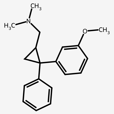 COc1cccc(C2(c3ccccc3)CC2CN(C)C)c1